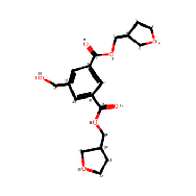 O=C(OCC1CCOC1)c1cc(CO)cc(C(=O)OCC2CCOC2)c1